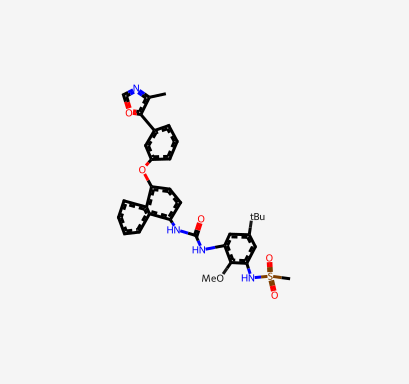 COc1c(NC(=O)Nc2ccc(Oc3cccc(-c4ocnc4C)c3)c3ccccc23)cc(C(C)(C)C)cc1NS(C)(=O)=O